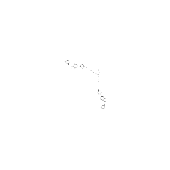 CCCC(COCCCCCOc1ccc(-c2cc(F)c(C(F)(F)Oc3cc(F)c(F)c(F)c3)c(F)c2)cc1)COCCCCCOc1ccc(-c2cc(F)c(C(F)(F)Oc3cc(F)c(F)c(F)c3)c(F)c2)cc1